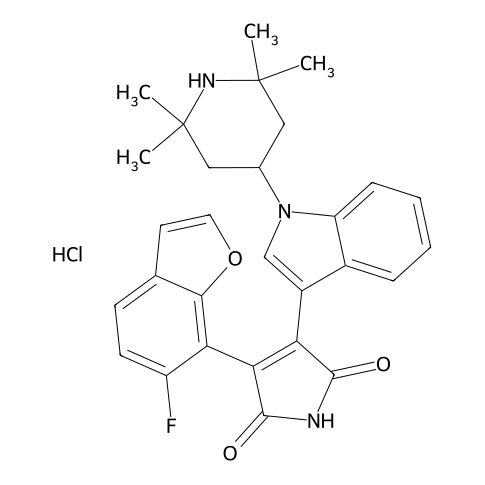 CC1(C)CC(n2cc(C3=C(c4c(F)ccc5ccoc45)C(=O)NC3=O)c3ccccc32)CC(C)(C)N1.Cl